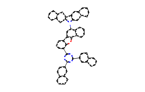 c1ccc2cc(-c3nc(-c4ccc5ccccc5c4)nc(-c4cccc5c4oc4c6ccccc6c(-n6c7cc8ccccc8cc7c7cc8ccccc8cc76)cc54)n3)ccc2c1